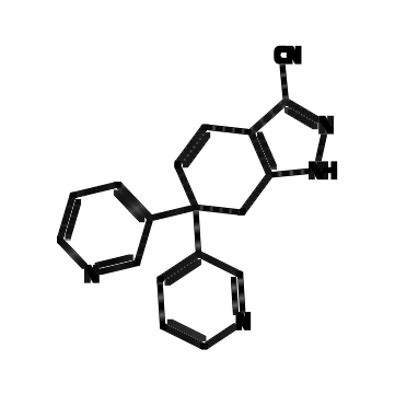 N#Cc1n[nH]c2c1C=CC(c1cccnc1)(c1cccnc1)C2